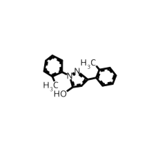 Cc1ccccc1-c1cc(O)n(-c2ccccc2C)n1